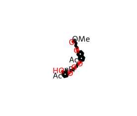 CCCc1c(OCCOCCOc2ccc3ccc(OCCCC(=O)OC)cc3c2C(C)=O)ccc(C(C)=O)c1O